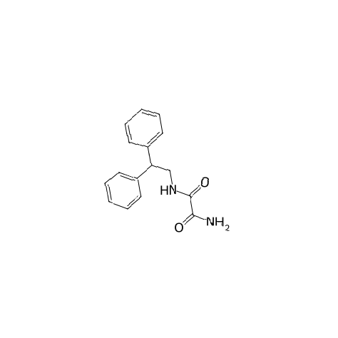 NC(=O)C(=O)NCC(c1ccccc1)c1ccccc1